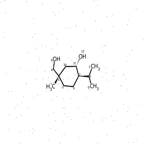 CC(C)[C@H]1CC[C@](C)(CO)C[C@@H]1O